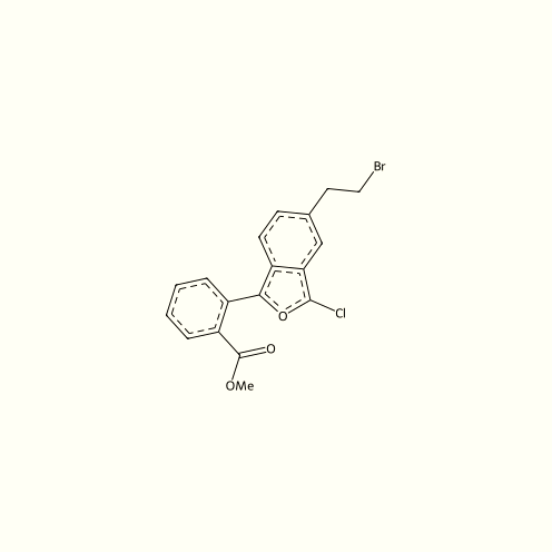 COC(=O)c1ccccc1-c1oc(Cl)c2cc(CCBr)ccc12